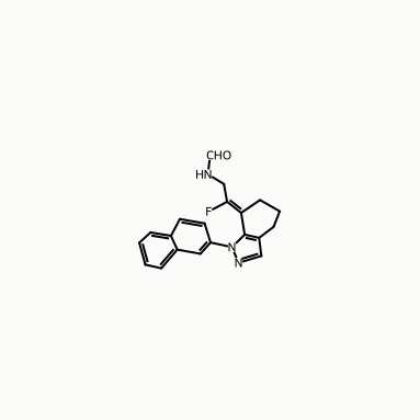 O=CNC/C(F)=C1\CCCc2cnn(-c3ccc4ccccc4c3)c21